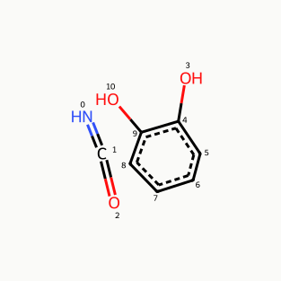 N=C=O.Oc1ccccc1O